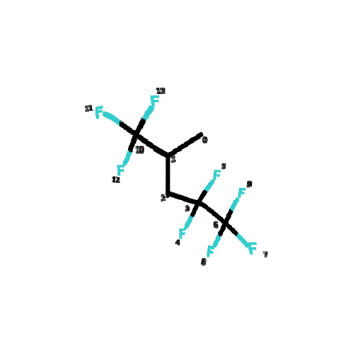 CC([CH]C(F)(F)C(F)(F)F)C(F)(F)F